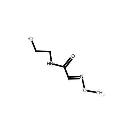 CON=CC(=O)NCC[O]